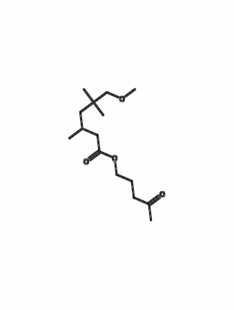 COCC(C)(C)CC(C)CC(=O)OCCCC(C)=O